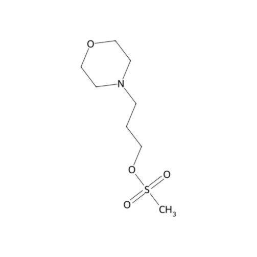 CS(=O)(=O)OCCCN1CCOCC1